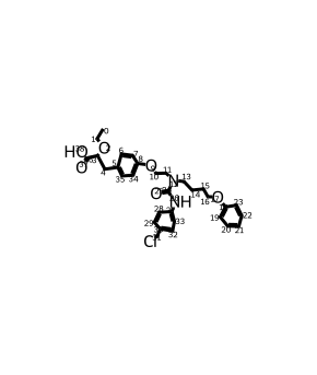 CCOC(Cc1ccc(OCCN(CCCCOc2ccccc2)C(=O)Nc2ccc(Cl)cc2)cc1)C(=O)O